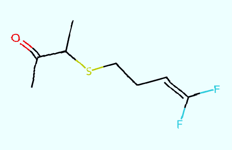 CC(=O)C(C)SCCC=C(F)F